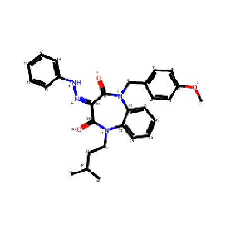 COc1ccc(Cn2c(=O)c(=NNc3ccccc3)c(=O)n(CCC(C)C)c3ccccc32)cc1